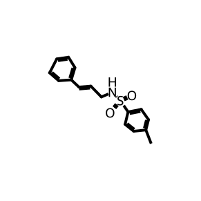 Cc1ccc(S(=O)(=O)NCC=Cc2ccccc2)cc1